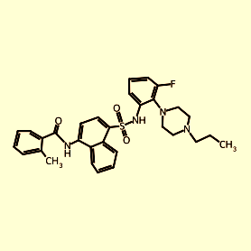 CCCN1CCN(c2c(F)cccc2NS(=O)(=O)c2ccc(NC(=O)c3ccccc3C)c3ccccc23)CC1